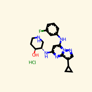 Cl.O[C@H]1CCNC[C@@H]1Nc1cc(Nc2cccc(F)c2)n2ncc(C3CC3)c2n1